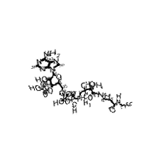 CC(=O)CNC(=O)CCNC(=O)[C@H](O)C(C)(C)CPP(=O)(O)OP(=O)(O)OCC1OC(n2cnc3c(N)ncnc32)C(O)C1OP(=O)(O)O